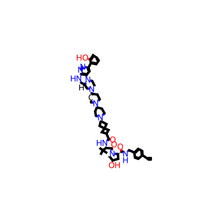 C#Cc1ccc(CNC(=O)[C@@H]2C[C@@H](O)CN2C(=O)[C@@H](NC(=O)C2CC3(C2)CC(N2CCC(N4CCC(N5CCN6c7cc(-c8ccccc8O)nnc7NC[C@H]6C5)CC4)CC2)C3)C(C)(C)C)cc1